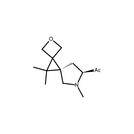 CC(=O)[C@@H]1C[C@]2(CN1C)C(C)(C)C21COC1